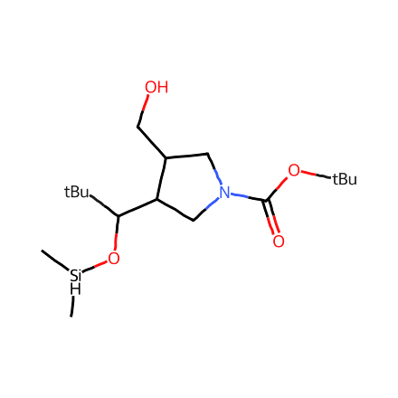 C[SiH](C)OC(C1CN(C(=O)OC(C)(C)C)CC1CO)C(C)(C)C